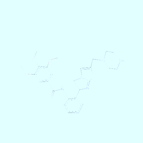 COc1cc(C(=O)Nc2ccccc2C2CN3C=C(CN4CCNCC4)SC3=N2)cc(OC)c1OC